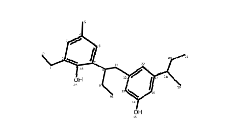 CCc1cc(C)cc(C(CC)Cc2cc(O)cc(C(C)CC)c2)c1O